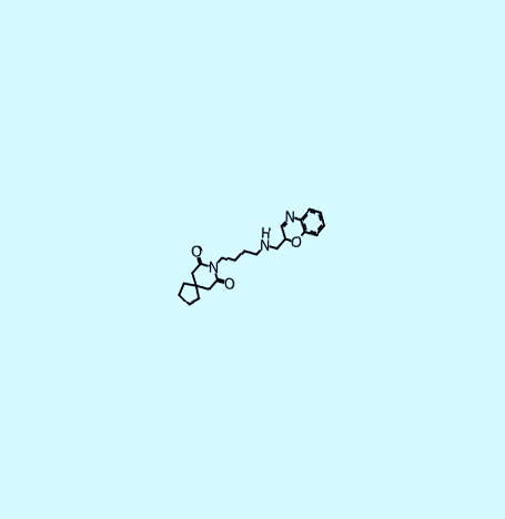 O=C1CC2(CCCC2)CC(=O)N1CCCCNCC1C=Nc2ccccc2O1